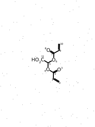 C=CC(=O)OC(OC(=O)C=C)C(=O)O